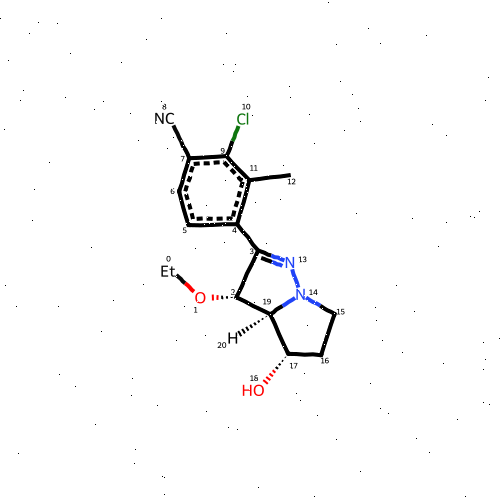 CCO[C@@H]1C(c2ccc(C#N)c(Cl)c2C)=NN2CC[C@H](O)[C@@H]12